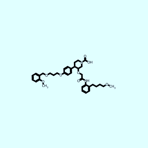 COCCCCc1ccccc1NC(=O)COC1CN(C(=O)O)CCC1c1ccc(OCCCOCc2ccccc2OC)cc1